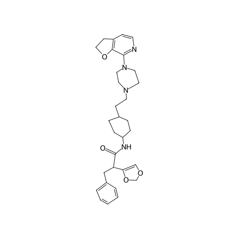 O=C(NC1CCC(CCN2CCN(c3nccc4c3OCC4)CC2)CC1)C(Cc1ccccc1)C1=COCO1